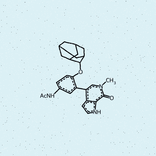 CC(=O)Nc1ccc(OC2C3CC4CC(C3)CC2C4)c(-c2cn(C)c(=O)c3[nH]ccc23)c1